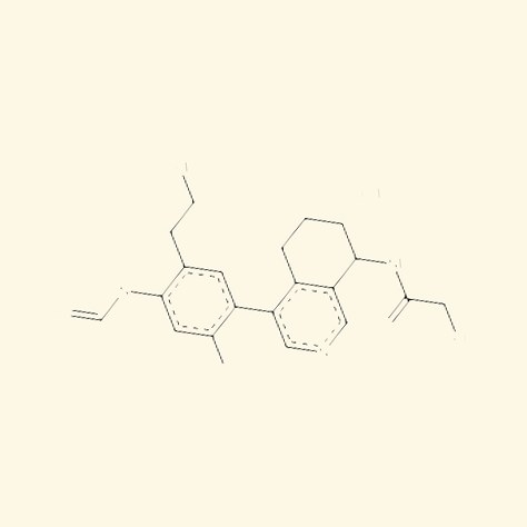 CCCc1cc(-c2cncc3c2CC[C@H](C)C3NC(=O)CC)c(F)cc1NC=O